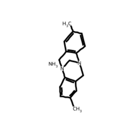 Cc1ccc2c(c1)CN1CN2Cc2cc(C)ccc21.N